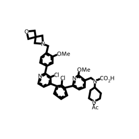 COc1cc(-c2nccc(-c3cccc(-c4ccc(CN(C(=O)O)C5CCN(C(C)=O)CC5)c(OC)n4)c3Cl)c2Cl)ccc1CN1CC2(COC2)C1